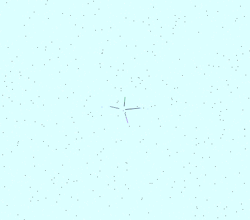 CCCC[Si](Cl)(I)CCCC